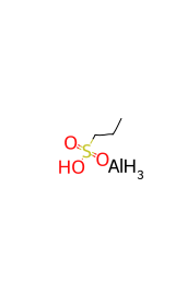 CCCS(=O)(=O)O.[AlH3]